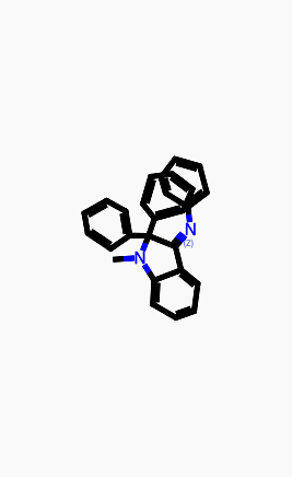 CN1c2ccccc2/C(=N/c2ccccc2)C1(c1ccccc1)c1ccccc1